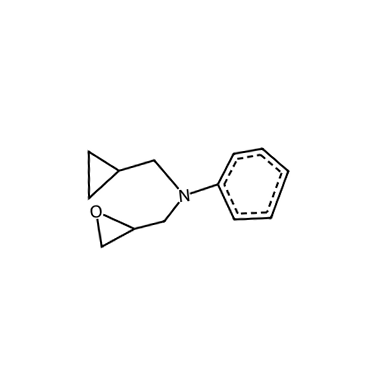 c1ccc(N(CC2CC2)CC2CO2)cc1